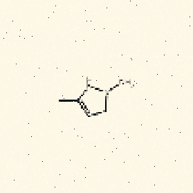 CC1=CCN(N)N1